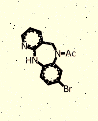 CC(=O)N1Cc2cccnc2Nc2ccc(Br)cc21